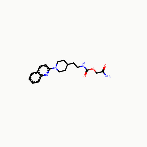 NC(=O)COC(=O)NCCC1CCN(c2ccc3ccccc3n2)CC1